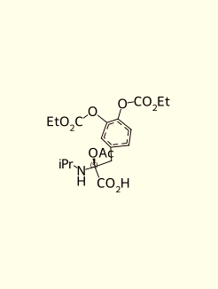 CCOC(=O)Oc1ccc(C[C@](NC(C)C)(OC(C)=O)C(=O)O)cc1OC(=O)OCC